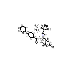 CCCCC(C)(C)C(O)/C=C/[C@@H]1[C@H]2CC(=O)O[C@H]2C[C@H]1OC(=O)c1ccc(-c2ccccc2)cc1